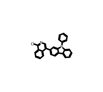 Clc1ncc(-c2ccc3c4ccccc4n(-c4ccccc4)c3c2)c2ccccc12